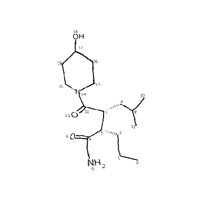 CCC[C@H](C(N)=O)[C@@H](CC(C)C)C(=O)N1CCC(O)CC1